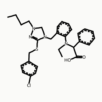 CCCCN1CN(Cc2ccccc2N(CC)C(C(=O)O)c2ccccc2)C(SCc2ccc(Cl)cc2)=N1